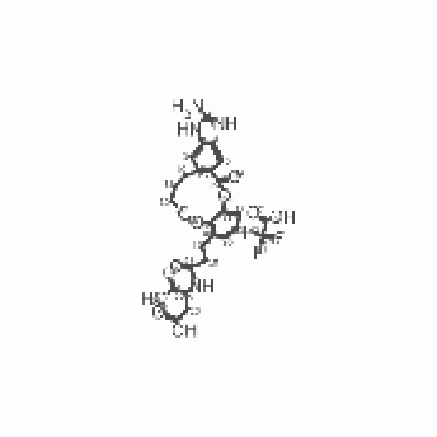 N=C(N)Nc1ccc2c(c1)CCCCOc1c(CCC(=O)N[C@@H](CC(=O)O)C(=O)O)cccc1OC2=O.O=C(O)C(F)(F)F